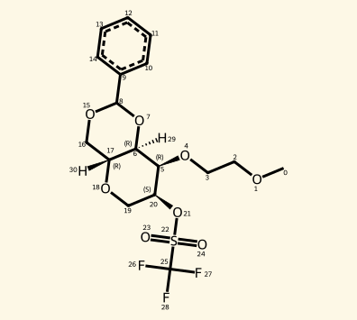 COCCO[C@@H]1[C@@H]2OC(c3ccccc3)OC[C@H]2OC[C@@H]1OS(=O)(=O)C(F)(F)F